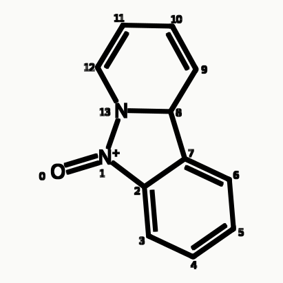 O=[N+]1c2ccccc2C2C=CC=CN21